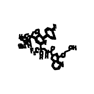 CC(C)(C)[S+]([O-])N[C@]1(C)COc2c1cc([C@](O)(CNC(=O)c1cc(OCCO)c3ncccc3c1)C(F)(F)F)nc2-c1ccc(F)cc1